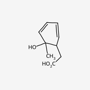 CC1(O)C=CC=CC1CC(=O)O